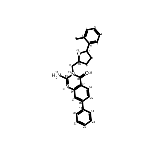 Cc1ccccc1C1CCC(Cn2c(N)nc3cc(-c4ccccc4)ccc3c2=O)O1